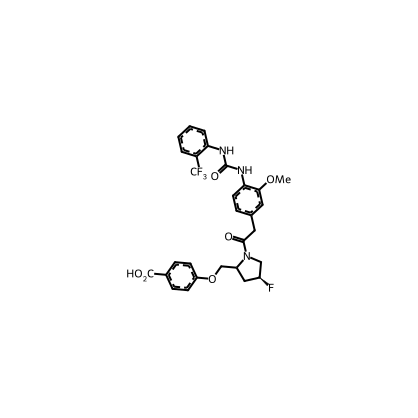 COc1cc(CC(=O)N2C[C@@H](F)CC2COc2ccc(C(=O)O)cc2)ccc1NC(=O)Nc1ccccc1C(F)(F)F